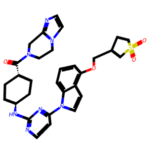 O=C([C@H]1CC[C@H](Nc2nccc(-n3ccc4c(OCC5CCS(=O)(=O)C5)cccc43)n2)CC1)N1CCn2ccnc2C1